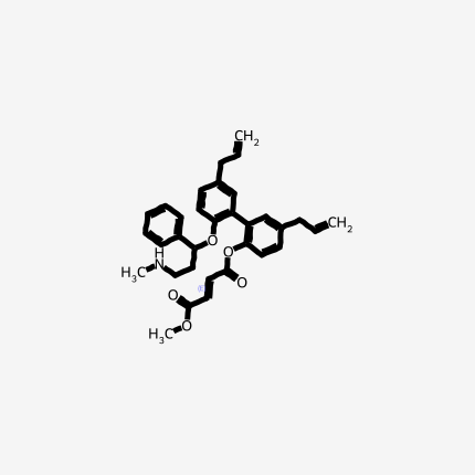 C=CCc1ccc(OC(=O)/C=C/C(=O)OC)c(-c2cc(CC=C)ccc2OC(CCNC)c2ccccc2)c1